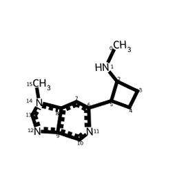 CNC1CCC1c1cc2c(cn1)ncn2C